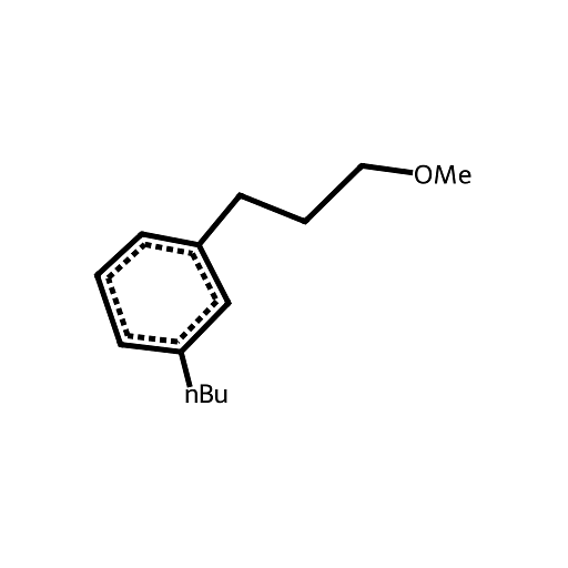 CCCCc1cccc(CCCOC)c1